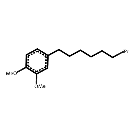 COc1ccc(CCCCCCC(C)C)cc1OC